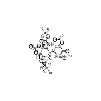 CC(=O)Oc1cc([C@H]2[C@@H](C)[C@H](O[Si](C)(C)C(C)(C)C)[C@H]3OC(=O)O[C@H]3[C@@H]2NC(=O)OC(C)(C)C)cc2c1OCO2